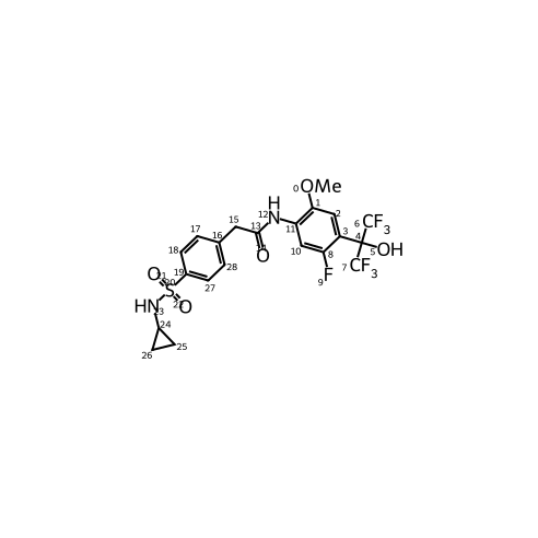 COc1cc(C(O)(C(F)(F)F)C(F)(F)F)c(F)cc1NC(=O)Cc1ccc(S(=O)(=O)NC2CC2)cc1